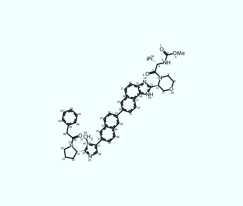 COC(=O)N[C@H](C(=O)N1CCOC[C@H]1c1nc2ccc3cc(-c4ccc5cc(-c6cnc([C@@H]7CCCN7C(=O)Cc7ccccc7)n6C)ccc5c4)ccc3c2[nH]1)C(C)C